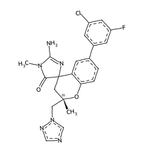 CN1C(=O)C2(C[C@@](C)(Cn3cncn3)Oc3ccc(-c4cc(F)cc(Cl)c4)cc32)N=C1N